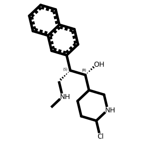 CNC[C@H](c1ccc2ccccc2c1)[C@H](O)C1CCC(Cl)NC1